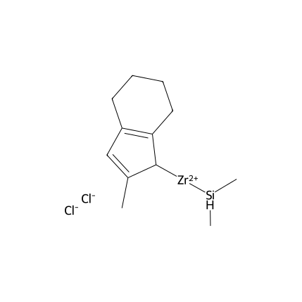 CC1=CC2=C(CCCC2)[CH]1[Zr+2][SiH](C)C.[Cl-].[Cl-]